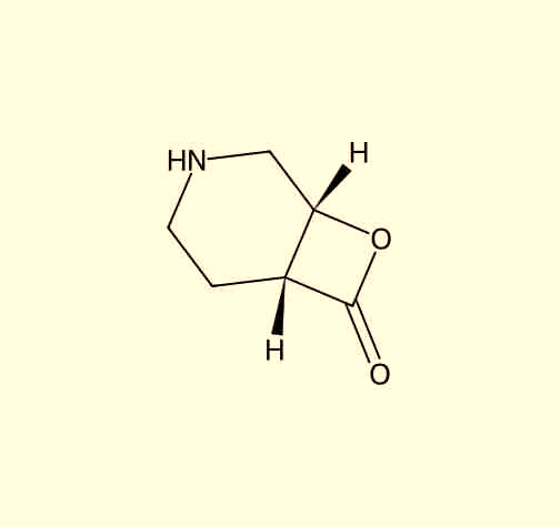 O=C1O[C@H]2CNCC[C@@H]12